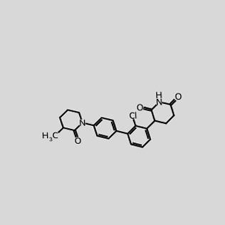 CC1CCCN(c2ccc(-c3cccc(C4CCC(=O)NC4=O)c3Cl)cc2)C1=O